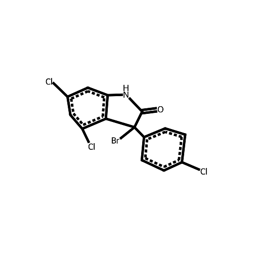 O=C1Nc2cc(Cl)cc(Cl)c2C1(Br)c1ccc(Cl)cc1